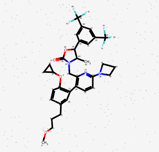 COCCCc1ccc(OC2CC2)c(-c2ccc(N3CCC3)nc2CN2C(=O)OC(c3cc(C(F)(F)F)cc(C(F)(F)F)c3)C2C)c1